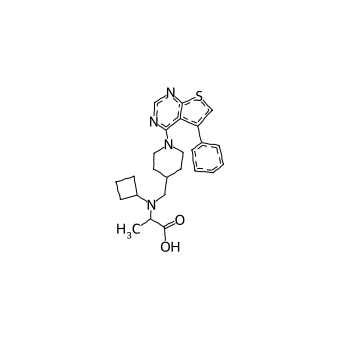 CC(C(=O)O)N(CC1CCN(c2ncnc3scc(-c4ccccc4)c23)CC1)C1CCC1